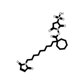 O=C1C=CC(=O)N1CCCCCCCCCC1(C(=O)ON2C(=O)CC(S(=O)(=O)O)C2=O)CCCCCC1